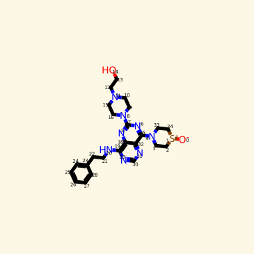 [O-][S+]1CCN(c2nc(N3CCN(CCO)CC3)nc3c(NCCc4ccccc4)ncnc23)CC1